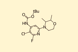 CC1OCCN(c2cc(NC(=O)OC(C)(C)C)c(Cl)c(F)n2)C1C